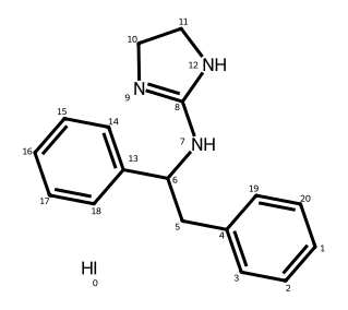 I.c1ccc(CC(NC2=NCCN2)c2ccccc2)cc1